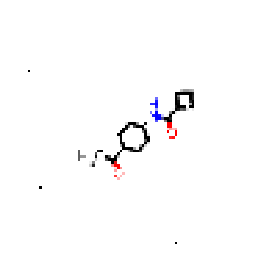 CC(=O)[C@H]1CC[C@H](NC(=O)C2CCC2)CC1